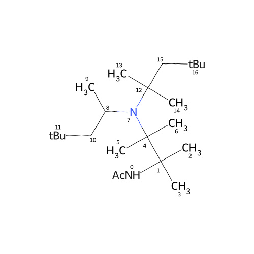 CC(=O)NC(C)(C)C(C)(C)N(C(C)CC(C)(C)C)C(C)(C)CC(C)(C)C